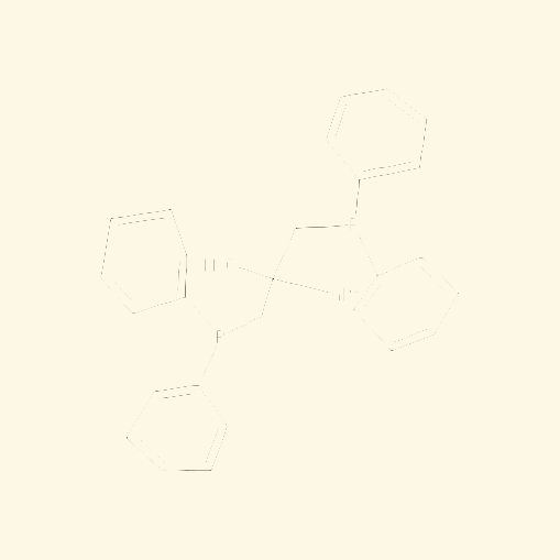 CCCC(C)(CP(c1ccccc1)c1ccccc1)CP(c1ccccc1)c1ccccc1